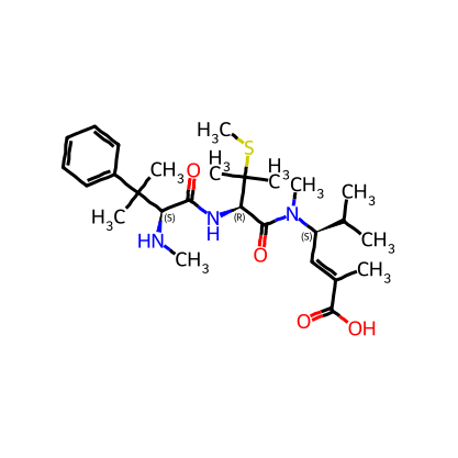 CN[C@H](C(=O)N[C@H](C(=O)N(C)[C@H](C=C(C)C(=O)O)C(C)C)C(C)(C)SC)C(C)(C)c1ccccc1